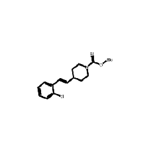 CC(C)(C)OC(=O)N1CCC(/C=C/c2ccccc2Cl)CC1